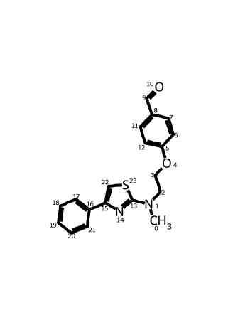 CN(CCOc1ccc(C=O)cc1)c1nc(-c2ccccc2)cs1